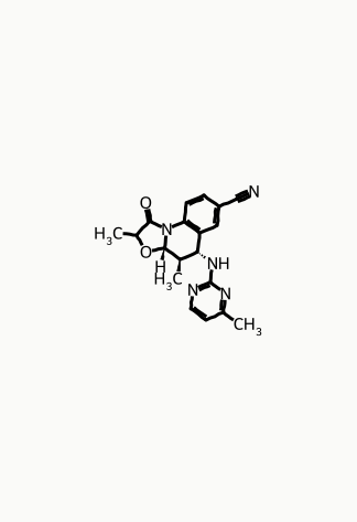 Cc1ccnc(N[C@H]2c3cc(C#N)ccc3N3C(=O)C(C)O[C@H]3[C@@H]2C)n1